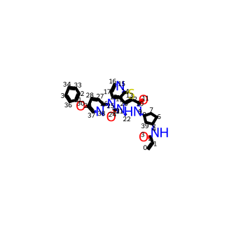 C=CC(=O)N[C@@H]1CC[C@H](NC(=O)c2sc3nccc4c3c2N(C)C(=O)N4c2ccc(Oc3ccccc3)cn2)C1